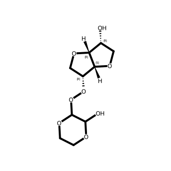 OC1OCCOC1OO[C@@H]1CO[C@H]2[C@@H]1OC[C@H]2O